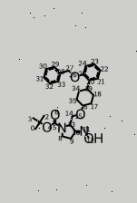 CC(C)(C)OC(=O)N1CCC(=NO)C1COC1CCC(c2ccccc2OCc2ccccc2)CC1